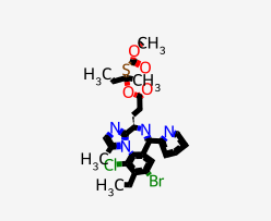 CCc1c(Br)cc2c(c1Cl)-n1c(C)cnc1[C@H](CCC(=O)OC(C)(CC)SC(=O)OC)N=C2c1ccccn1